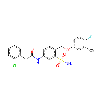 N#Cc1cc(OCc2ccc(NC(=O)Cc3ccccc3Cl)cc2S(N)(=O)=O)ccc1F